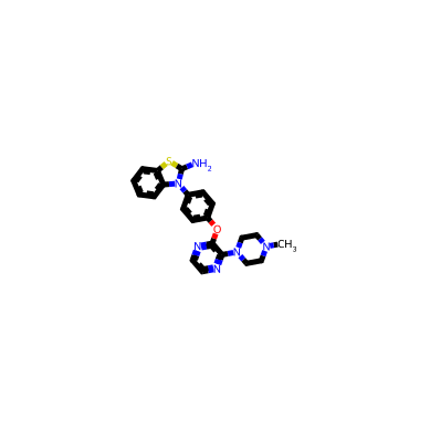 CN1CCN(c2nccnc2Oc2ccc(N3c4ccccc4SC3N)cc2)CC1